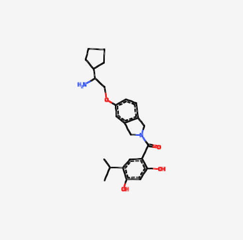 CC(C)c1cc(C(=O)N2Cc3ccc(OCC(N)C4CCCC4)cc3C2)c(O)cc1O